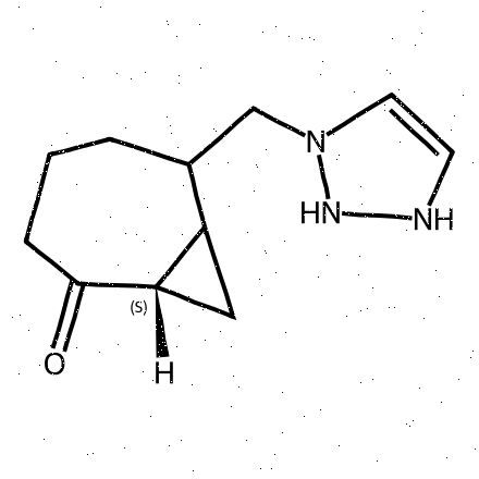 O=C1CCCC(CN2C=CNN2)C2C[C@H]12